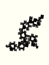 Cc1ccc(-c2ccc3nc(-c4cccnc4N)n(-c4ccc(CN5CCC(Nc6ccnc(C#N)n6)CC5)cc4)c3n2)cn1